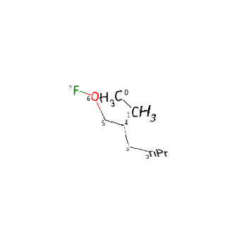 CC.CCCCCCOF